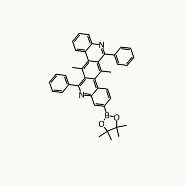 Cc1c2c(-c3ccccc3)nc3cc(B4OC(C)(C)C(C)(C)O4)ccc3c2c(C)c2c(-c3ccccc3)nc3ccccc3c12